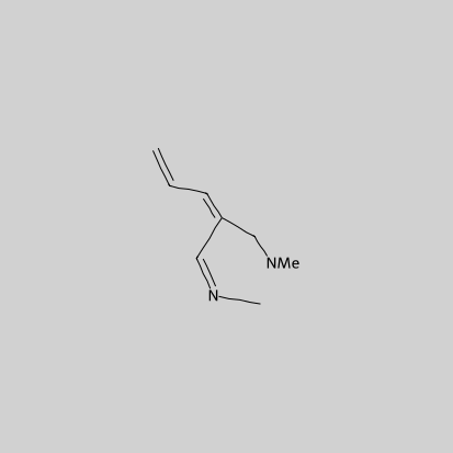 C=C/C=C(\C=N/C)CNC